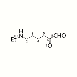 CCNCCCCC(=O)C=O